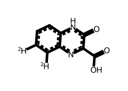 [2H]c1ccc2[nH]c(=O)c(C(=O)O)nc2c1[2H]